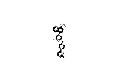 Cc1nccc(N2CCN(C[C@H]3CN(c4ccc(N)c5ncccc45)C[C@@H](C)O3)CC2)n1